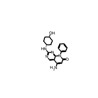 Nc1cc(=O)n(-c2ccccc2)c2nc(N[C@H]3CC[C@H](O)CC3)ncc12